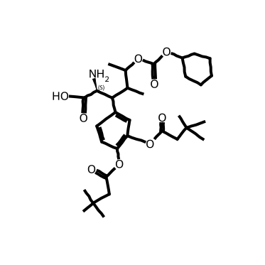 CC(OC(=O)OC1CCCCC1)C(C)C(c1ccc(OC(=O)CC(C)(C)C)c(OC(=O)CC(C)(C)C)c1)[C@H](N)C(=O)O